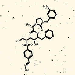 CC(C)CN(CC(O)C(Cc1ccccc1)NC(=O)[C@H](C(C)C)N1CCN(Cc2cccc(N)c2)C1=O)S(=O)(=O)c1ccc(/C=N/O)cc1